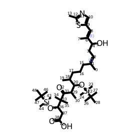 C/C(=C/CC(O)/C(C)=C/c1cnc(C)s1)CCCC(C)C(O[Si](C)(C)C(C)(C)C)C(C)C(=O)C(C)(C)C(CC(=O)O)O[Si](C)(C)C(C)(C)C